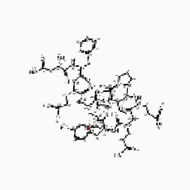 CC[C@H](C)[C@H](NC(=O)[C@H](CCC(=O)O)NC(=O)[C@H](CCC(=O)O)NC(=O)[C@H](Cc1ccccc1)NC(=O)[C@@H](N)CC(=O)O)C(=O)N1CCC[C@H]1C(=O)N[C@@H](CCC(=O)O)C(=O)N[C@@H](CCC(=O)O)C(=O)N[C@@H](Cc1ccc(O)cc1)C(=O)N[C@@H](CC(C)C)C(=O)O